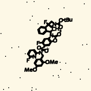 COc1ccc(CN(c2cccc(F)n2)S(=O)(=O)c2cc3oc(=O)n(C(C)c4ccccc4C4(F)CN(C(=O)OC(C)(C)C)C4)c3cc2F)c(OC)c1